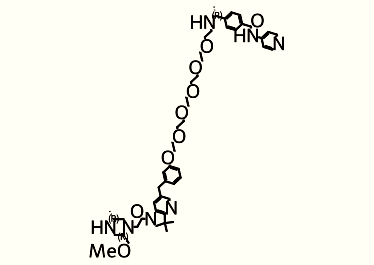 COC[C@H]1CN[C@H](C)CN1CC(=O)N1CC(C)(C)c2ncc(Cc3cccc(OCCOCCOCCOCCOCCOCCN[C@H](C)c4ccc(C(=O)Nc5ccncc5)cc4)c3)cc21